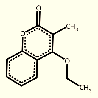 CCOc1c(C)c(=O)oc2ccccc12